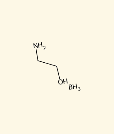 B.NCCO